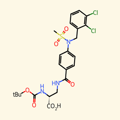 CC(C)(C)OC(=O)N[C@H](CNC(=O)c1ccc(N(Cc2cccc(Cl)c2Cl)S(C)(=O)=O)cc1)C(=O)O